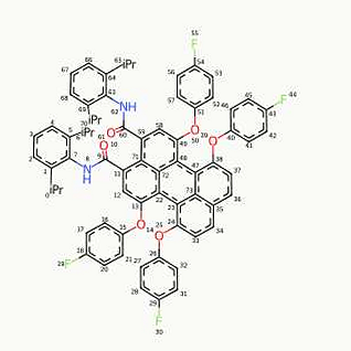 CC(C)c1cccc(C(C)C)c1NC(=O)c1cc(Oc2ccc(F)cc2)c2c3c(Oc4ccc(F)cc4)ccc4ccc(Oc5ccc(F)cc5)c(c5c(Oc6ccc(F)cc6)cc(C(=O)Nc6c(C(C)C)cccc6C(C)C)c1c25)c43